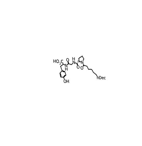 CCCCCCCCCCCCCCCC(=O)N1CCC[C@H]1C(=O)NCC(=O)NC(Cc1ccc(O)cc1)C(=O)O